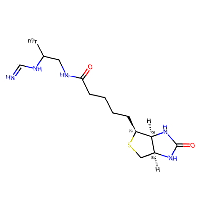 CCCC(CNC(=O)CCCC[C@@H]1SC[C@@H]2NC(=O)N[C@@H]21)N[C]=N